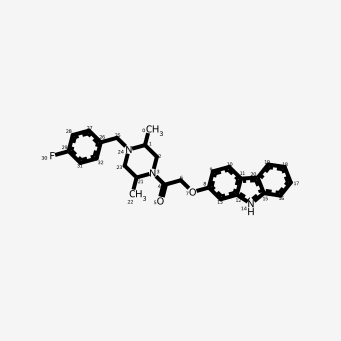 CC1CN(C(=O)COc2ccc3c(c2)[nH]c2ccccc23)C(C)CN1Cc1ccc(F)cc1